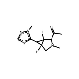 CC(=O)[C@@H]1[C@H]2C(c3nnnn3C)[C@H]2CN1C